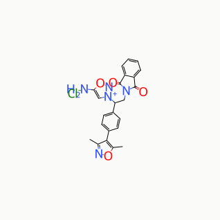 Cc1noc(C)c1-c1ccc(C(CN2C(=O)c3ccccc3C2=O)[n+]2cc(N)on2)cc1.[Cl-]